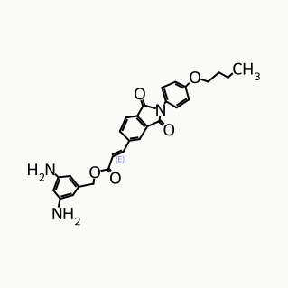 CCCCOc1ccc(N2C(=O)c3ccc(/C=C/C(=O)OCc4cc(N)cc(N)c4)cc3C2=O)cc1